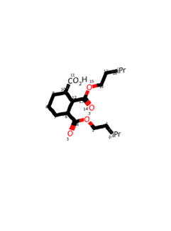 CC(C)CCOC(=O)C1CCCC(C(=O)O)C1C(=O)OCCC(C)C